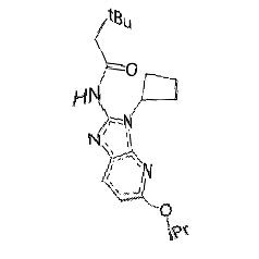 CC(C)Oc1ccc2nc(NC(=O)CC(C)(C)C)n(C3CCC3)c2n1